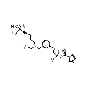 CCN(CC=CC#CC(C)(C)C)Cc1cccc(OCC(C)(C)OC(=O)c2ccsc2)c1